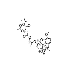 COc1ccc2c3c1O[C@H]1C(OC(=O)[C@H](C)OC(=O)C[C@H](OC(C)=O)C(=O)OC(C)(C)C)=CC[C@@]4(O)[C@@H](C2)N(C)CC[C@]314